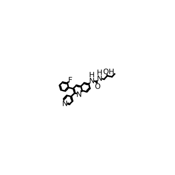 CCC(O)CNC(=O)Nc1ccc2nc(-c3ccncc3)c(-c3ccccc3F)cc2c1